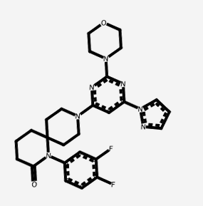 O=C1CCCC2(CCN(c3cc(-n4cccn4)nc(N4CCOCC4)n3)CC2)N1c1ccc(F)c(F)c1